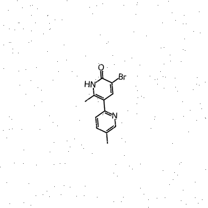 Cc1ccc(-c2cc(Br)c(=O)[nH]c2C)nc1